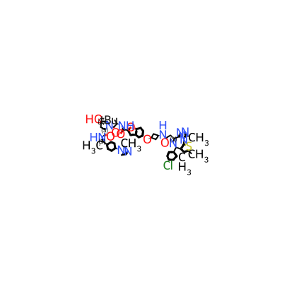 Cc1sc2c(c1C)C(c1ccc(Cl)cc1)=N[C@@H](CC(=O)N[C@H]1C[C@@H](Oc3ccc4oc(C(=O)NC(C(=O)N5C[C@H](O)C[C@H]5C(=O)N[C@@H](C)c5ccc(-n6ccnc6C)cc5)C(C)(C)C)cc4c3)C1)c1nnc(C)n1-2